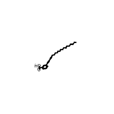 CCCCCCCCCCCCCCCCC#CC#Cc1cccc(C(=O)O)c1